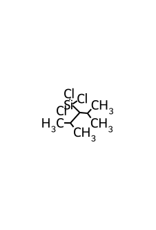 CC(C)C(C(C)C)[Si](Cl)(Cl)Cl